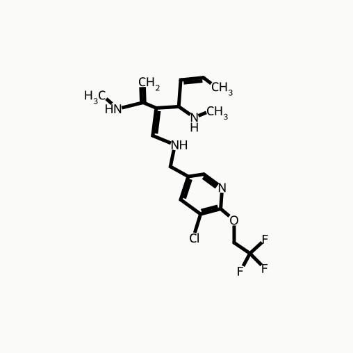 C=C(NC)/C(=C/NCc1cnc(OCC(F)(F)F)c(Cl)c1)C(/C=C\C)NC